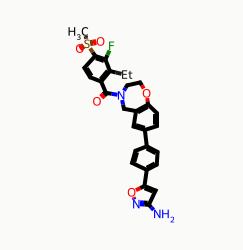 CCc1c(C(=O)N2CCOc3ccc(-c4ccc(-c5cc(N)no5)cc4)cc3C2)ccc(S(C)(=O)=O)c1F